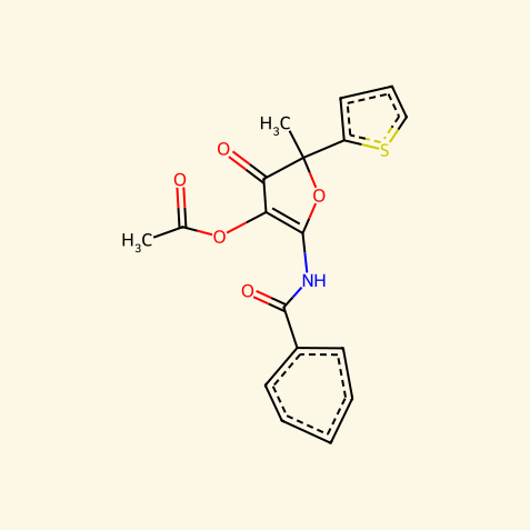 CC(=O)OC1=C(NC(=O)c2ccccc2)OC(C)(c2cccs2)C1=O